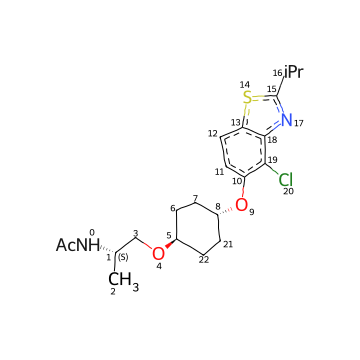 CC(=O)N[C@@H](C)CO[C@H]1CC[C@H](Oc2ccc3sc(C(C)C)nc3c2Cl)CC1